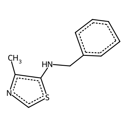 Cc1ncsc1NCc1ccccc1